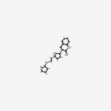 O=c1oc2ccccc2cc1-c1ccc(/C=C/Cc2cccs2)s1